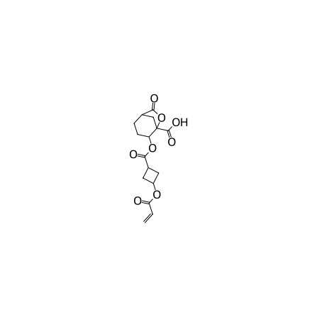 C=CC(=O)OC1CC(C(=O)OC2CCC3CC2(C(=O)O)OC3=O)C1